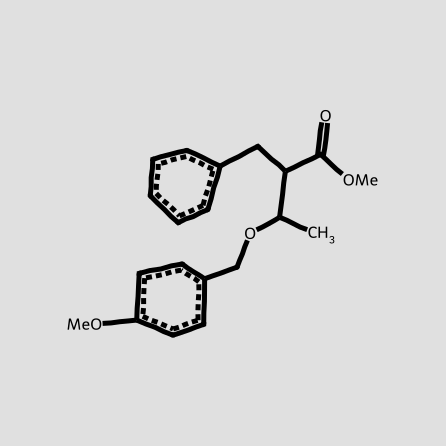 COC(=O)C(Cc1ccccc1)C(C)OCc1ccc(OC)cc1